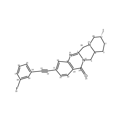 C[C@@H]1CCC2Cn3c(nc4cc(C#Cc5cccc(F)c5)ccc4c3=O)CN2C1